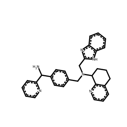 NC(c1ccc(CN(Cc2nc3ccccc3[nH]2)C2CCCc3cccnc32)cc1)c1ccccn1